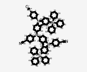 [C-]#[N+]c1ccc(-n2c3ccc(N(c4ccc(C#N)cc4)c4ccc5c(c4)c4cc([Si](c6ccccc6)(c6ccccc6)c6ccccc6)ccc4n5-c4ccc(C#N)cc4)cc3c3cc([Si](c4ccccc4)(c4ccccc4)c4ccccc4)ccc32)cc1